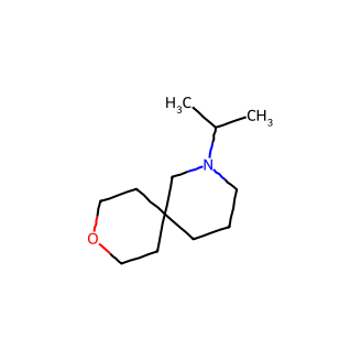 CC(C)N1CCCC2(CCOCC2)C1